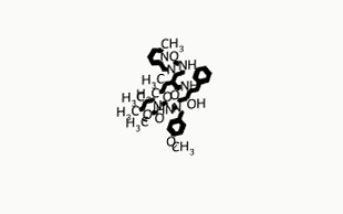 CCC(C)CN(C(=O)NN(Cc1ccc(OC)cc1)CC(O)C(Cc1ccccc1)NC(=O)C(C(C)CC)C1CNC(=O)N1Cc1cccc(C)n1)C(=O)OC